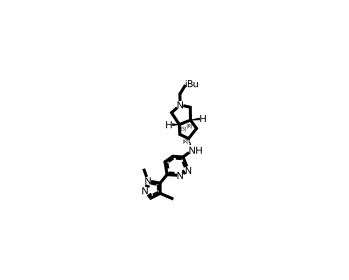 CCC(C)CN1C[C@H]2C[C@@H](Nc3ccc(-c4c(C)cnn4C)nn3)C[C@H]2C1